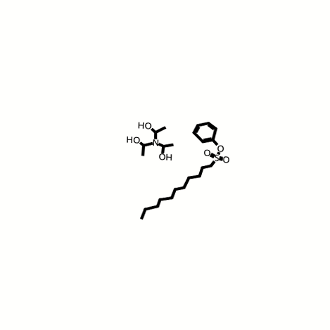 CC(O)N(C(C)O)C(C)O.CCCCCCCCCCCS(=O)(=O)Oc1ccccc1